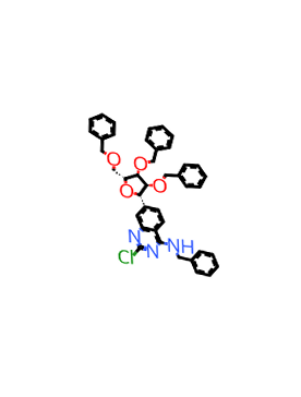 Clc1nc(NCc2ccccc2)c2ccc([C@@H]3O[C@H](COCc4ccccc4)[C@@H](OCc4ccccc4)[C@H]3OCc3ccccc3)cc2n1